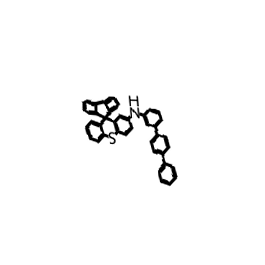 c1ccc(-c2ccc(-c3cccc(Nc4ccc5c(c4)C4(c6ccccc6S5)c5ccccc5-c5ccccc54)c3)cc2)cc1